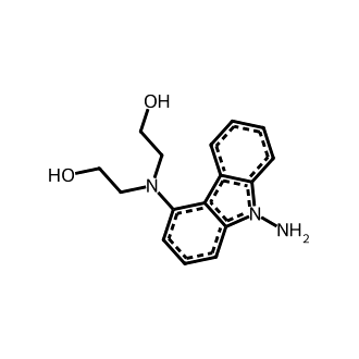 Nn1c2ccccc2c2c(N(CCO)CCO)cccc21